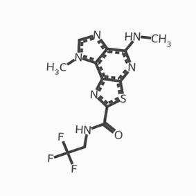 CNc1nc2sc(C(=O)NCC(F)(F)F)nc2c2c1ncn2C